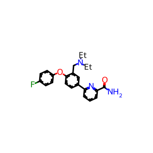 CCN(CC)Cc1cc(-c2cccc(C(N)=O)n2)ccc1Oc1ccc(F)cc1